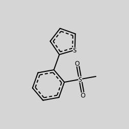 CS(=O)(=O)c1ccccc1-c1cccs1